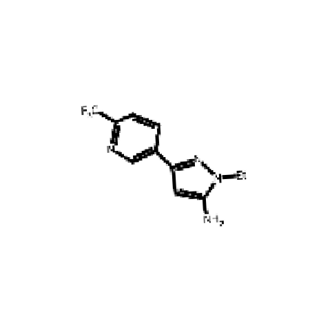 CCn1nc(-c2ccc(C(F)(F)F)nc2)cc1N